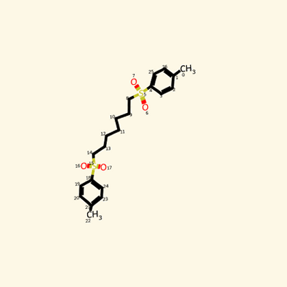 Cc1ccc(S(=O)(=O)CCCCCCCS(=O)(=O)c2ccc(C)cc2)cc1